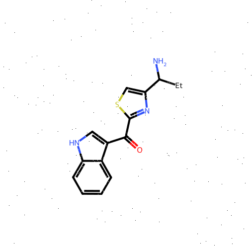 CCC(N)c1csc(C(=O)c2c[nH]c3ccccc23)n1